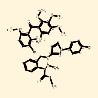 COC(=O)N(OC)c1ccccc1COc1ccn(-c2ccc(Cl)cc2)n1.COc1cc(C)c(C(=O)c2c(OC)ccc(Br)c2C)c(OC)c1OC